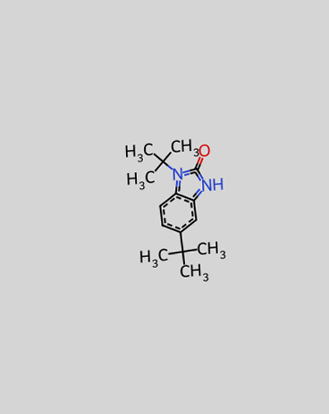 CC(C)(C)c1ccc2c(c1)[nH]c(=O)n2C(C)(C)C